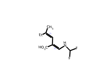 CC/C(C)=C\C(=C/NC(F)F)C(=O)O